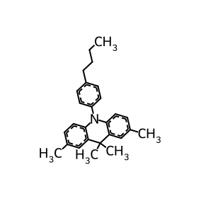 CCCCc1ccc(N2c3ccc(C)cc3C(C)(C)c3cc(C)ccc32)cc1